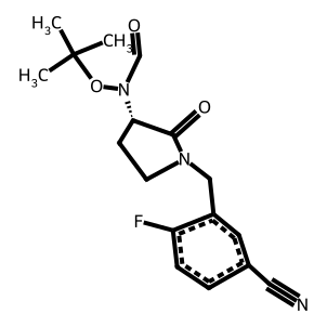 CC(C)(C)ON(C=O)[C@H]1CCN(Cc2cc(C#N)ccc2F)C1=O